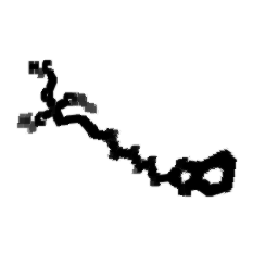 CCO[Si](C)(C)CCCSSSSSSc1nc2ccccc2s1